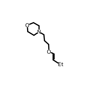 CC/C=C/OCCCN1CCOCC1